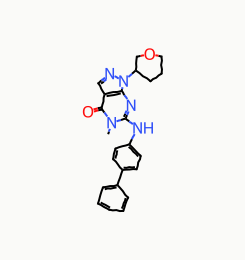 Cn1c(Nc2ccc(-c3ccccc3)cc2)nc2c(cnn2C2CCCOC2)c1=O